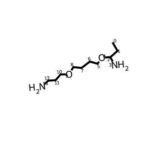 CCC(N)OCCCCOCCCN